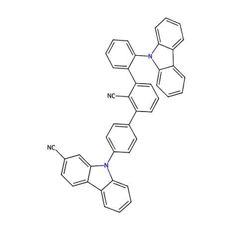 N#Cc1ccc2c3ccccc3n(-c3ccc(-c4cccc(-c5ccccc5-n5c6ccccc6c6ccccc65)c4C#N)cc3)c2c1